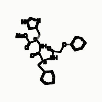 COC(=O)[C@H](Cc1c[nH]cn1)NC(=O)[C@H](Cc1ccccc1)NC(=O)COc1ccccc1